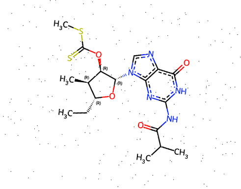 CC[C@H]1O[C@@H](n2cnc3c(=O)[nH]c(NC(=O)C(C)C)nc32)[C@H](OC(=S)SC)[C@@H]1C